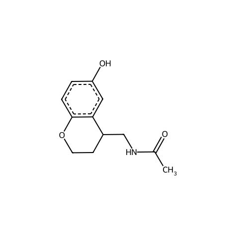 CC(=O)NCC1CCOc2ccc(O)cc21